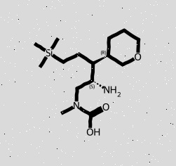 CN(C[C@@H](N)C(CC[Si](C)(C)C)[C@H]1CCCOC1)C(=O)O